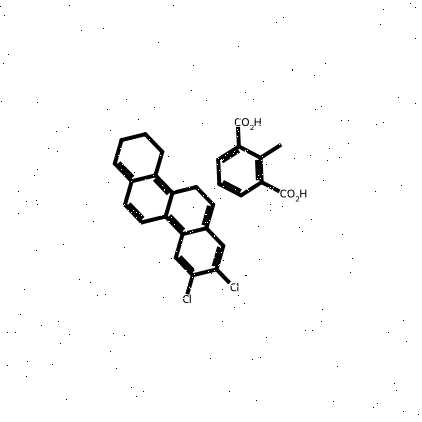 Cc1c(C(=O)O)cccc1C(=O)O.Clc1cc2c(cc1Cl)=c1ccc3c(c1CC=2)CCCC=3